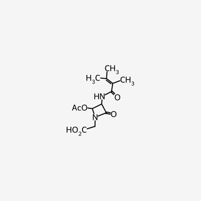 CC(=O)OC1C(NC(=O)C(C)=C(C)C)C(=O)N1CC(=O)O